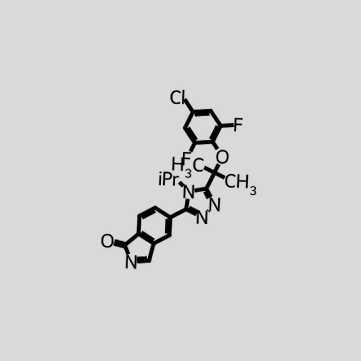 CC(C)n1c(-c2ccc3c(c2)C=NC3=O)nnc1C(C)(C)Oc1c(F)cc(Cl)cc1F